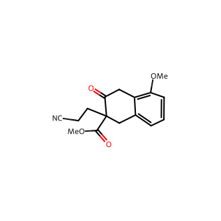 COC(=O)C1(CCC#N)Cc2cccc(OC)c2CC1=O